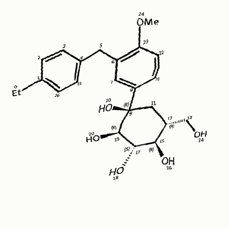 CCc1ccc(Cc2cc([C@]3(O)C[C@H](CO)[C@@H](O)[C@H](O)[C@H]3O)ccc2OC)cc1